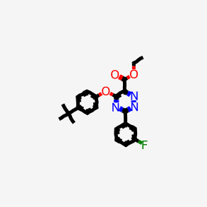 CCOC(=O)c1nnc(-c2cccc(F)c2)nc1Oc1ccc(C(C)(C)C)cc1